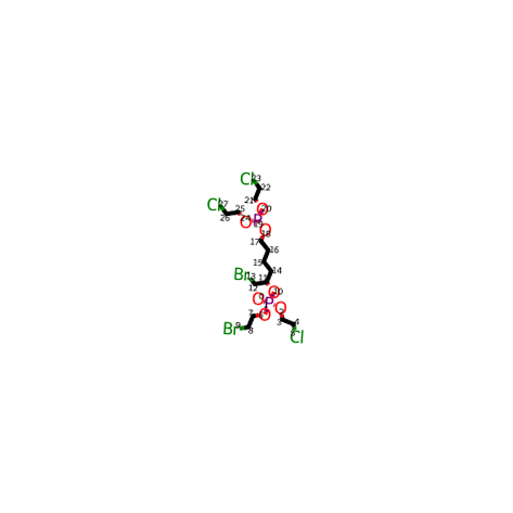 O=P(OCCCl)(OCCBr)OC(CBr)CCCCOP(OCCCl)OCCCl